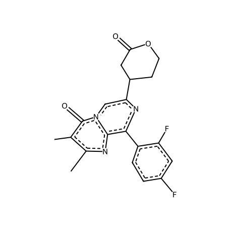 Cc1nc2c(-c3ccc(F)cc3F)nc(C3CCOC(=O)C3)cn2c(=O)c1C